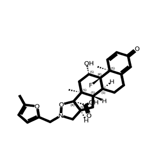 Cc1ccc(CN2C[C@@H]3C[C@H]4[C@@H]5CCC6=CC(=O)C=C[C@]6(C)[C@@]5(F)[C@@H](O)C[C@]4(C)[C@]3(C(=O)O)O2)o1